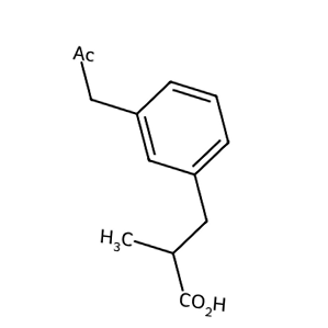 CC(=O)Cc1cccc(CC(C)C(=O)O)c1